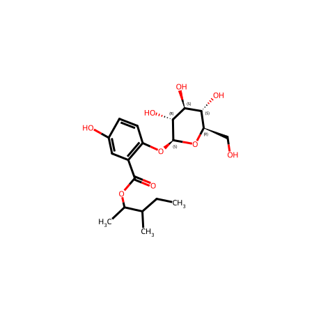 CCC(C)C(C)OC(=O)c1cc(O)ccc1O[C@@H]1O[C@H](CO)[C@@H](O)[C@H](O)[C@H]1O